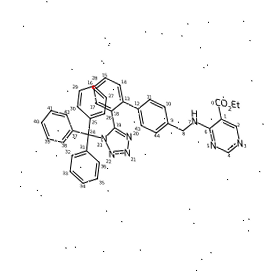 CCOC(=O)c1cncnc1NCc1ccc(-c2ccccc2-c2nnnn2C(c2ccccc2)(c2ccccc2)c2ccccc2)cc1